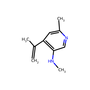 C=C(C)c1cc(C)ncc1NC